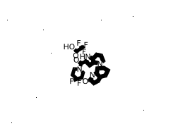 O=C(O)C(F)(F)F.O=C(c1cc2ncccc2[nH]1)N1CCC(F)(F)[C@@H](Oc2ccc3ccccc3n2)C1